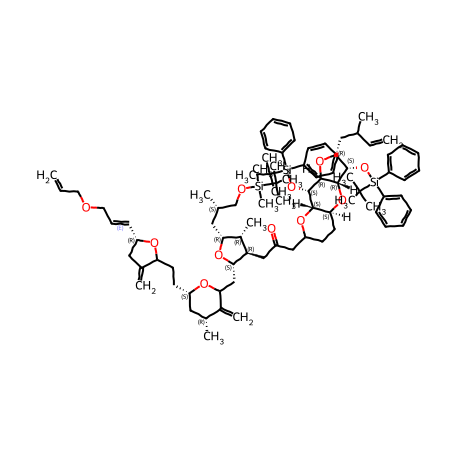 C=CCOC/C=C/[C@H]1CC(=C)C(CC[C@H]2C[C@@H](C)C(=C)C(C[C@@H]3O[C@H](C[C@H](C)CO[Si](C)(C)C(C)(C)C)[C@H](C)[C@H]3CC(=O)CC3CC[C@@H]4O[C@@H]5[C@@H](O[C@H](CC(C)C=C)[C@@H]5O[Si](c5ccccc5)(c5ccccc5)C(C)(C)C)[C@@H](O[Si](c5ccccc5)(c5ccccc5)C(C)(C)C)[C@H]4O3)O2)O1